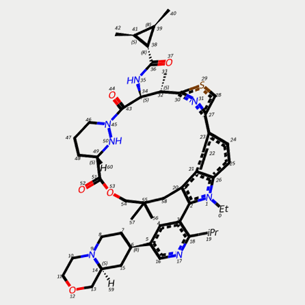 CCn1c(-c2cc([C@@H]3CCN4CCOC[C@@H]4C3)cnc2C(C)C)c2c3cc(ccc31)-c1csc(n1)[C@@H](C)[C@H](NC(=O)[C@H]1[C@H](C)[C@@H]1C)C(=O)N1CCC[C@H](N1)C(=O)OCC(C)(C)C2